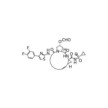 O=CO[C@@H]1C[C@H]2C(=O)N[C@]3(C(=O)NS(=O)(=O)C4CC4)C[C@H]3/C=C\CCCCC[C@H](Nc3nc(-c4ccc(F)c(F)c4)cs3)C(=O)N2C1